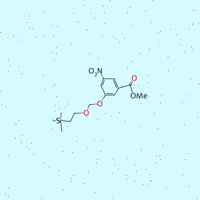 COC(=O)c1cc(OCOCC[Si](C)(C)C)cc([N+](=O)[O-])c1